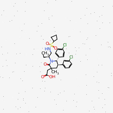 CC[C@@H](CNS(=O)(=O)C1CCC1)N1C(=O)[C@@](C)(CC(=O)O)C[C@H](c2cccc(Cl)c2)[C@H]1c1ccc(Cl)cc1